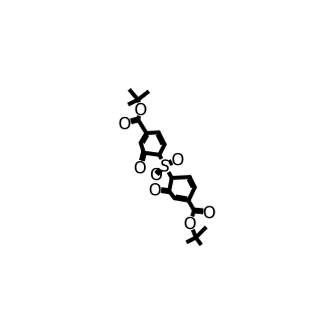 CC(C)(C)OC(=O)C1=CC(=O)C(S(=O)(=O)C2C=CC(C(=O)OC(C)(C)C)=CC2=O)C=C1